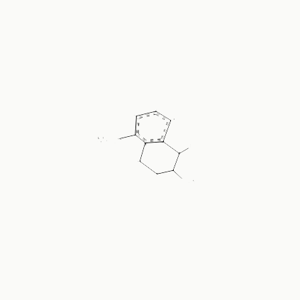 COc1cccc2c1CCC(OC(C)=O)C2O